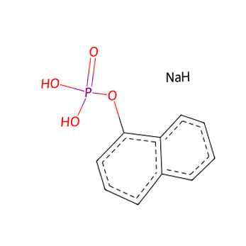 O=P(O)(O)Oc1cccc2ccccc12.[NaH]